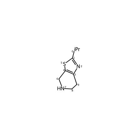 CC(C)c1nc2c(s1)CNCC2